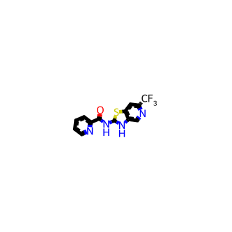 O=C(NC1Nc2cnc(C(F)(F)F)cc2S1)c1ccccn1